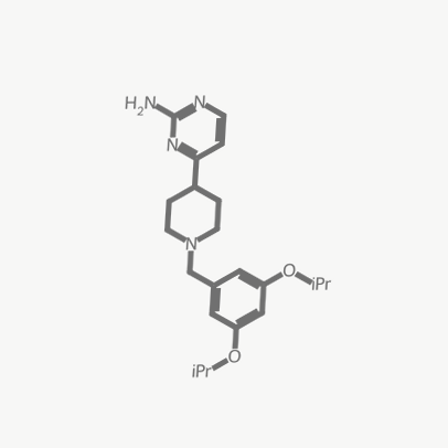 CC(C)Oc1cc(CN2CCC(c3ccnc(N)n3)CC2)cc(OC(C)C)c1